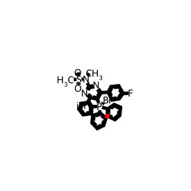 CC(C)c1nc(N(C)S(C)(=O)=O)nc(-c2ccc(F)cc2)c1P(Br)(c1ccccc1)(c1ccccc1)c1ccccc1